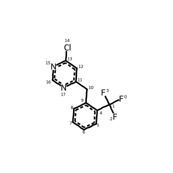 FC(F)(F)c1ccccc1Cc1cc(Cl)ncn1